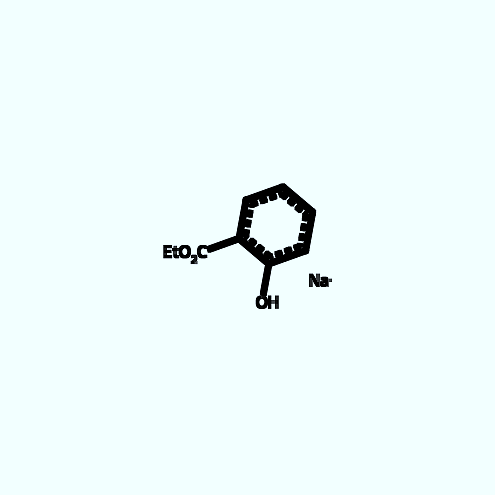 CCOC(=O)c1ccccc1O.[Na]